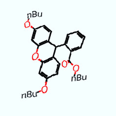 CCCCOC(=O)c1ccccc1C1c2ccc(OCCCC)cc2Oc2cc(OCCCC)ccc21